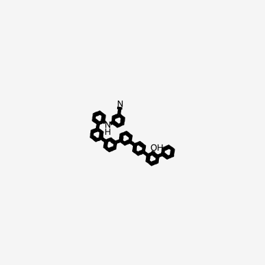 N#Cc1cccc(Nc2ccccc2-c2cccc(-c3cccc(-c4cccc(-c5ccc(-c6cccc(-c7ccccc7)c6O)cc5)c4)c3)c2)c1